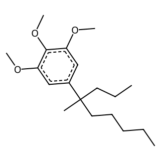 CCCCCC(C)(CCC)c1cc(OC)c(OC)c(OC)c1